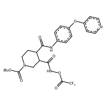 CC(C)COC(=O)N1CCC(C(=O)Nc2ccc(Oc3ccncc3)cc2)C(C(=O)NOC(=O)C(F)(F)F)C1